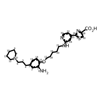 Nc1cc(CCCN2CCCCC2)ccc1OCCCCCNc1cc(-c2nc(C(=O)O)cs2)ccn1